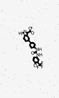 COC(=O)c1n[nH]c2ccc(-c3ccc(NC(=O)Nc4ccc(Cl)c(C(F)(F)F)c4)cc3)cc12